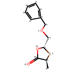 C[C@@H]1S[C@@H](COCc2ccccc2)OC1=O